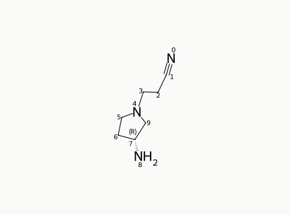 N#CCCN1CC[C@@H](N)C1